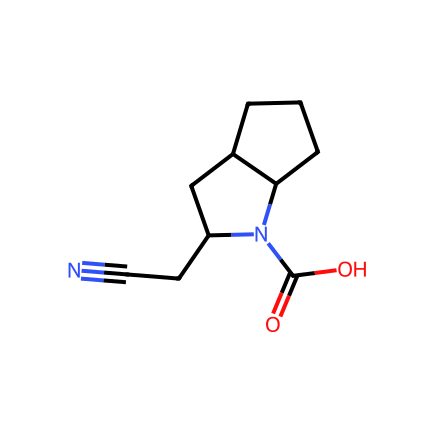 N#CCC1CC2CCCC2N1C(=O)O